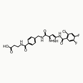 O=C(O)CCNC(=O)c1ccc(CNC(=O)c2cc(NC(=O)c3cc(F)c(F)cc3Cl)[nH]n2)cc1